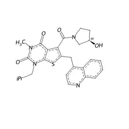 CC(C)Cn1c(=O)n(C)c(=O)c2c(C(=O)N3CC[C@@H](O)C3)c(Cc3ccnc4ccccc34)sc21